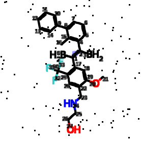 B/C(=C(/B)c1cccc(-c2ccccc2)c1C)c1cc(OC)c(CNCCO)cc1C(F)(F)F